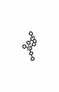 c1ccc(-c2ccc(-c3cc(-c4ccc5ccc6nc(-c7ccccc7)cc(-c7ccccc7)c6c5c4)nc(-c4ccccc4)n3)cc2)cc1